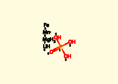 O=P(O)(O)O.[Fe].[LiH].[MgH2].[Mn]